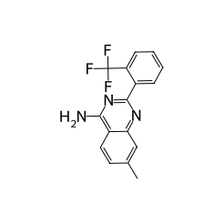 Cc1ccc2c(N)nc(-c3ccccc3C(F)(F)F)nc2c1